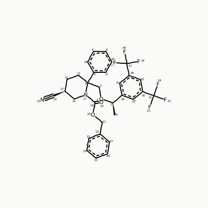 C[C@@H](OCC1(c2ccccc2)CC[C@H](C#N)CN1C(=O)OCc1ccccc1)c1cc(C(F)(F)F)cc(C(F)(F)F)c1